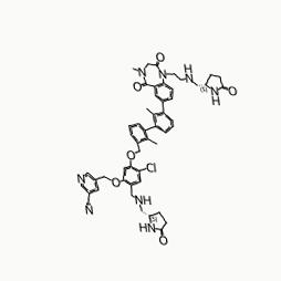 Cc1c(COc2cc(OCc3cncc(C#N)c3)c(CNC[C@@H]3CCC(=O)N3)cc2Cl)cccc1-c1cccc(-c2ccc3c(c2)C(=O)N(C)CC(=O)N3CCNC[C@@H]2CCC(=O)N2)c1C